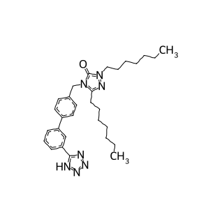 CCCCCCCc1nn(CCCCCCC)c(=O)n1Cc1ccc(-c2cccc(-c3nnn[nH]3)c2)cc1